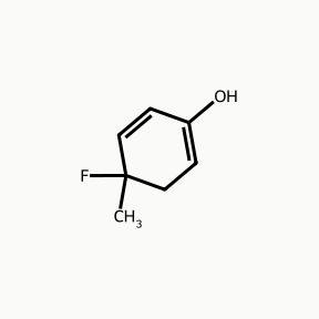 CC1(F)C=CC(O)=CC1